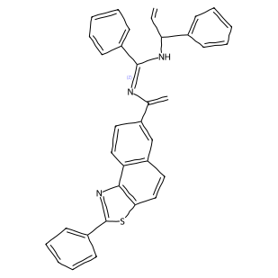 C=CC(N/C(=N\C(=C)c1ccc2c(ccc3sc(-c4ccccc4)nc32)c1)c1ccccc1)c1ccccc1